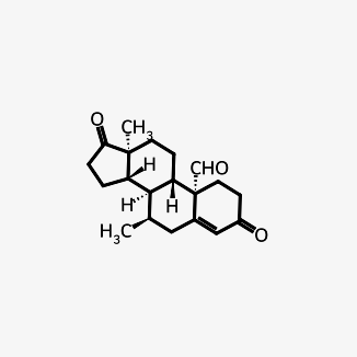 C[C@@H]1CC2=CC(=O)CC[C@]2(C=O)[C@H]2CC[C@]3(C)C(=O)CC[C@H]3[C@H]12